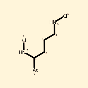 CC(=O)C(CCCNCl)NCl